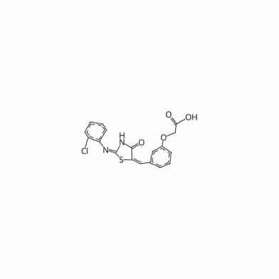 O=C(O)COc1cccc(/C=C2/S/C(=N/c3ccccc3Cl)NC2=O)c1